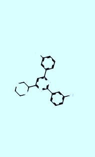 CC(=O)Nc1cccc(-c2nc(-c3cccc(O)c3)cc(C3CNCCO3)n2)c1